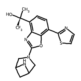 C[C@@](O)(c1ccc(-c2nccs2)c2oc(N3CC4CC(C3)N4)nc12)C(F)(F)F